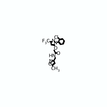 Cc1cc(CNC(=O)COc2cc(C(F)(F)F)nn2-c2ccccc2Cl)no1